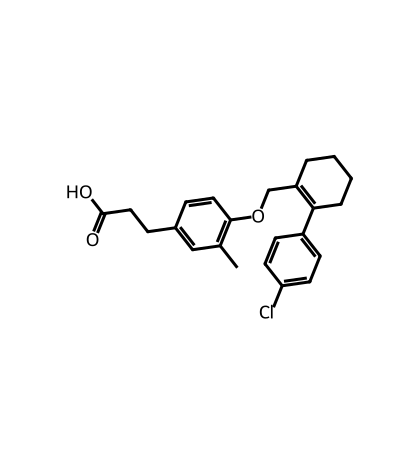 Cc1cc(CCC(=O)O)ccc1OCC1=C(c2ccc(Cl)cc2)CCCC1